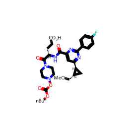 CCCCOC(=O)ON1CCN(C(=O)[C@H](CCC(=O)O)NC(=O)c2cc([C@H]3C[C@@H]3COC)nc(-c3ccc(F)cc3)n2)CC1